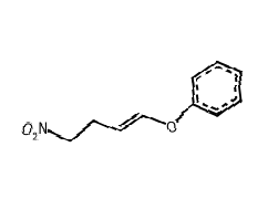 O=[N+]([O-])CCC=COc1ccccc1